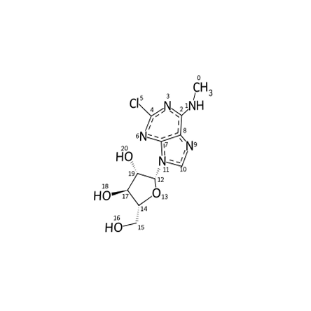 CNc1nc(Cl)nc2c1ncn2[C@@H]1O[C@H](CO)[C@@H](O)[C@@H]1O